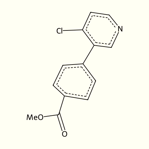 COC(=O)c1ccc(-c2cnccc2Cl)cc1